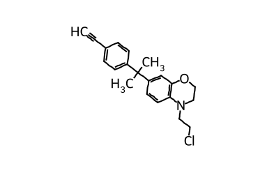 C#Cc1ccc(C(C)(C)c2ccc3c(c2)OCCN3CCCl)cc1